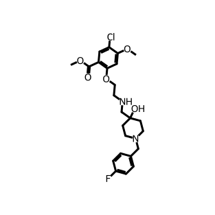 COC(=O)c1cc(Cl)c(OC)cc1OCCNCC1(O)CCN(Cc2ccc(F)cc2)CC1